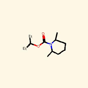 CCC(CC)OC(=O)N1C(C)CCCC1C